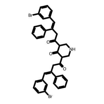 O=C(CC(=Cc1cccc(Br)c1)c1ccccc1)C1CNCC(C(=O)CC(=Cc2cccc(Br)c2)c2ccccc2)C1=O